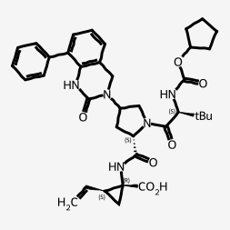 C=C[C@@H]1C[C@]1(NC(=O)[C@@H]1CC(N2Cc3cccc(-c4ccccc4)c3NC2=O)CN1C(=O)[C@@H](NC(=O)OC1CCCC1)C(C)(C)C)C(=O)O